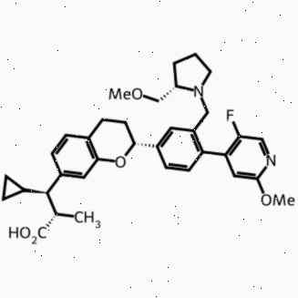 COC[C@@H]1CCCN1Cc1cc([C@H]2CCc3ccc([C@H](C4CC4)[C@H](C)C(=O)O)cc3O2)ccc1-c1cc(OC)ncc1F